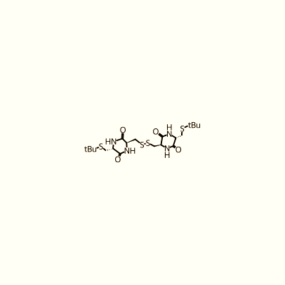 CC(C)(C)SC[C@@H]1NC(=O)[C@@H](CSSC[C@@H]2NC(=O)[C@@H](CSC(C)(C)C)NC2=O)NC1=O